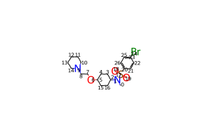 CN(C1CCC(OCCN2CCCCC2)CC1)S(=O)(=O)c1ccc(Br)cc1